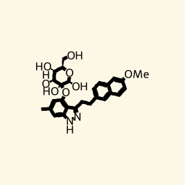 COc1ccc2cc(CCc3n[nH]c4cc(C)cc(O[C@]5(O)[C@H](O)O[C@H](CO)[C@@H](O)[C@@H]5O)c34)ccc2c1